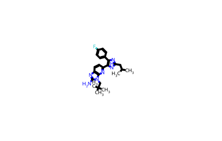 CC(C)Cc1nc(-c2ccc(F)cc2)c(-c2ccc3nc(N)n(CC(C)(C)C)c3n2)[nH]1